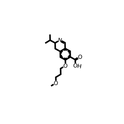 COCCCOc1cc2c(cc1C(=O)O)C=NC(C(C)C)C2